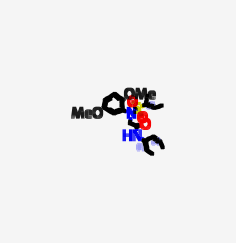 C/C=C\C(=C/C)NC(=O)CN(c1cc(OC)ccc1OC)S(=O)(=O)/C(C)=C/C